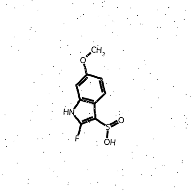 COc1ccc2c(S(=O)O)c(F)[nH]c2c1